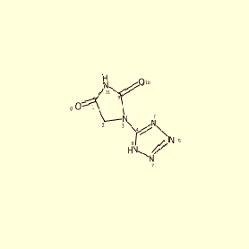 O=C1CN(c2nnn[nH]2)C(=O)N1